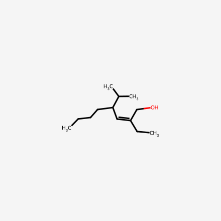 CCCCC(C=C(CC)CO)C(C)C